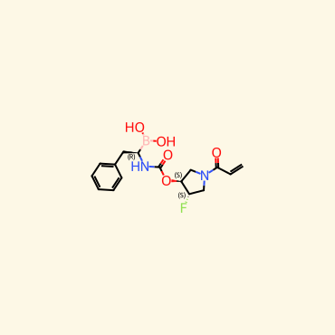 C=CC(=O)N1C[C@H](OC(=O)N[C@@H](Cc2ccccc2)B(O)O)[C@@H](F)C1